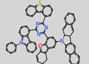 C1=Cc2oc3c(-c4nc(-c5cccc6sc7ccccc7c56)nc(-c5cccc6c5c5ccccc5n6-c5ccccc5)n4)cc(N4c5cc6ccccc6cc5C5C=c6ccccc6=CC54)cc3c2CC1